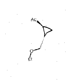 CCOC[C@H]1C[C@@H]1C(C)=O